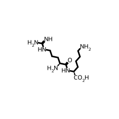 N=C(N)NCCC[C@H](N)C(=O)N[C@@H](CCCCN)C(=O)O